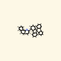 c1ccc2c(c1)-c1ccccc1C21c2ccccc2-c2c(-c3ccc4ccc5ccccc5c4n3)cccc21